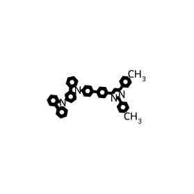 Cc1ccc(-c2cc(-c3ccc(-c4ccc(-n5c6ccccc6c6cc(-n7c8ccccc8c8ccccc87)ccc65)cc4)cc3)nc(-c3ccc(C)cc3)n2)cc1